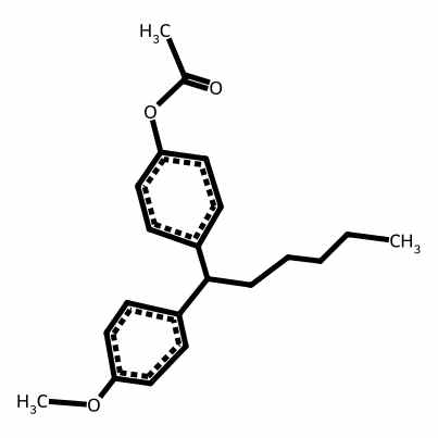 CCCCCC(c1ccc(OC)cc1)c1ccc(OC(C)=O)cc1